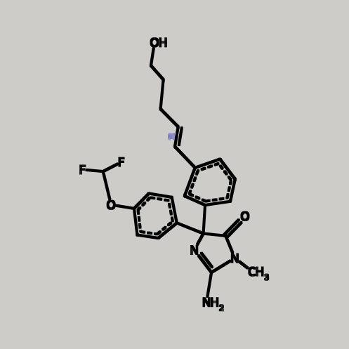 CN1C(=O)C(c2ccc(OC(F)F)cc2)(c2cccc(/C=C/CCCO)c2)N=C1N